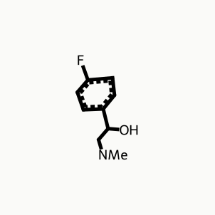 CNCC(O)c1ccc(F)cc1